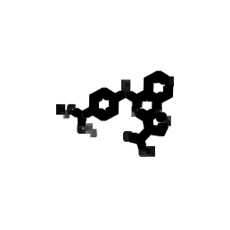 CN(C)c1ccc(Nc2nc3c(C(=O)O)cnn3c3cnccc23)cc1